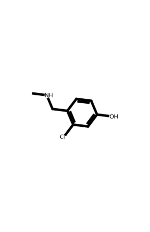 CNCc1ccc(O)cc1Cl